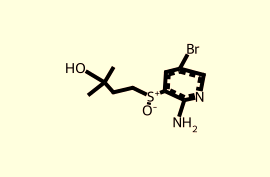 CC(C)(O)CC[S+]([O-])c1cc(Br)cnc1N